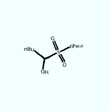 [CH2]CCCC(O)S(=O)(=O)CCCCC